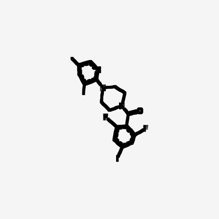 Cc1cnc(N2CCN(C(=O)c3c(F)cc(I)cc3F)CC2)c(C)c1